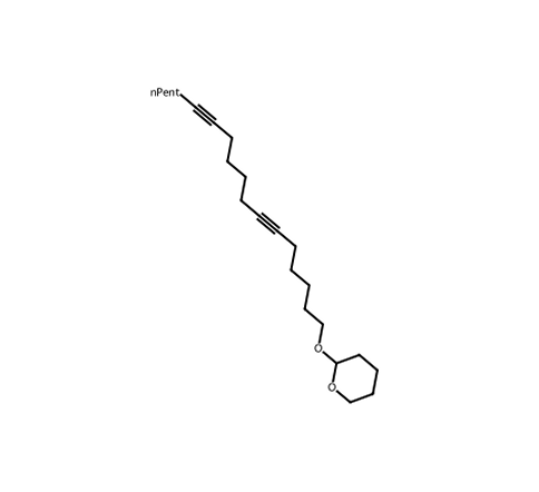 CCCCCC#CCCCCC#CCCCCCOC1CCCCO1